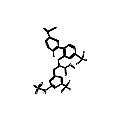 COC(=O)N(Cc1cc(NS(C)(=O)=O)cc(C(F)(F)F)c1)Cc1cc(C(F)(F)F)ccc1-c1cc(C(C)C)ccc1C